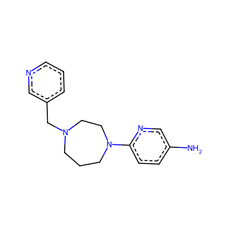 Nc1ccc(N2CCCN(Cc3cccnc3)CC2)nc1